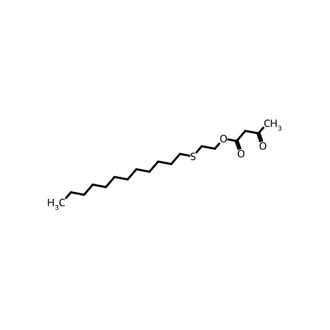 CCCCCCCCCCCCSCCOC(=O)CC(C)=O